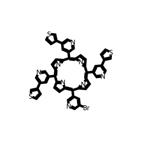 Brc1cncc(C2=C3C=CC(=N3)C(c3cncc(-c4ccsc4)c3)=C3C=CC(=N3)C(c3cncc(-c4ccsc4)c3)=C3C=CC(=N3)C(c3cncc(-c4ccsc4)c3)=C3C=CC2=N3)c1